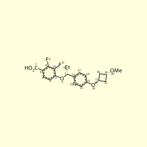 CC[C@@H](Oc1ccc(C(=O)O)c(F)c1F)c1ccc(O[C@H]2C[C@H](OC)C2)cn1